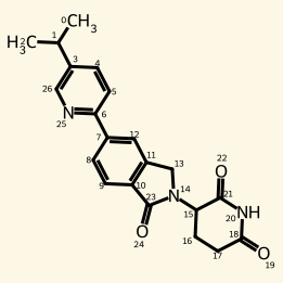 CC(C)c1ccc(-c2ccc3c(c2)CN(C2CCC(=O)NC2=O)C3=O)nc1